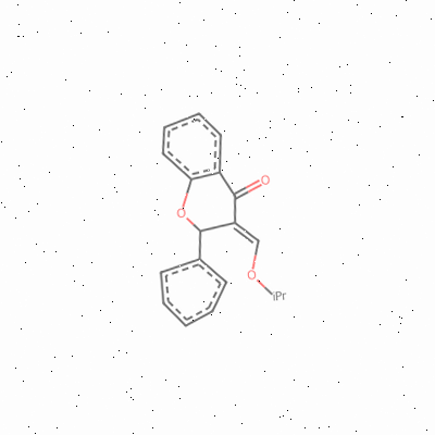 CC(C)OC=C1C(=O)c2ccccc2OC1c1ccccc1